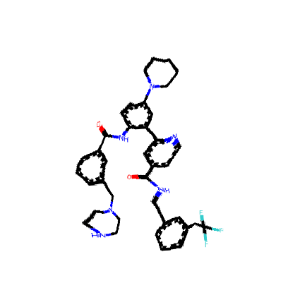 O=C(NCc1cccc(C(F)(F)F)c1)c1ccnc(-c2cc(N3CCCCC3)ccc2NC(=O)c2cccc(CN3CCNCC3)c2)c1